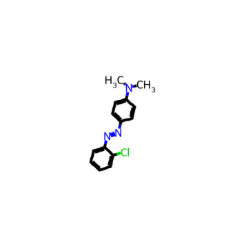 CN(C)c1ccc(N=Nc2ccccc2Cl)cc1